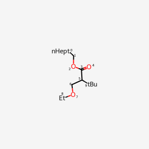 CCCCCCCCOC(=O)C(COCC)C(C)(C)C